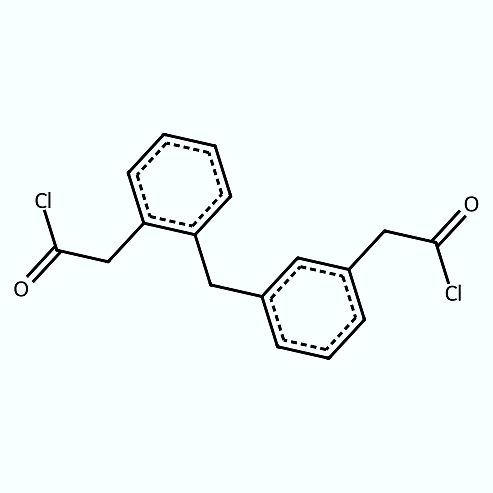 O=C(Cl)Cc1cccc(Cc2ccccc2CC(=O)Cl)c1